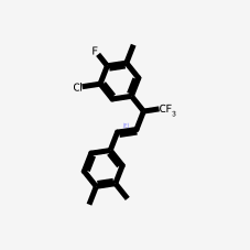 Cc1ccc(/C=C/C(c2cc(C)c(F)c(Cl)c2)C(F)(F)F)cc1C